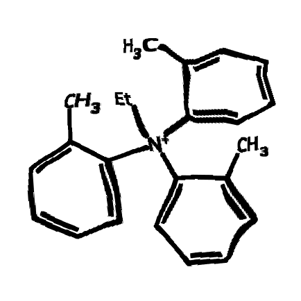 CC[N+](c1ccccc1C)(c1ccccc1C)c1ccccc1C